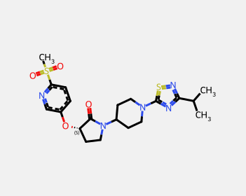 CC(C)c1nsc(N2CCC(N3CC[C@H](Oc4ccc(S(C)(=O)=O)nc4)C3=O)CC2)n1